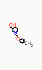 Cc1ccc(OCCN2CCCC(CO)C2)cc1